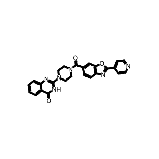 O=C(c1ccc2nc(-c3ccncc3)oc2c1)N1CCN(c2nc3ccccc3c(=O)[nH]2)CC1